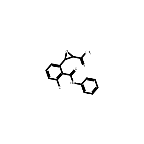 CC(=O)C1OC1c1cccc(Cl)c1C(=O)Nc1ccccc1